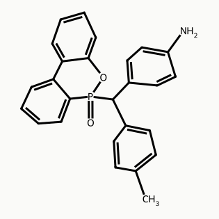 Cc1ccc(C(c2ccc(N)cc2)P2(=O)Oc3ccccc3-c3ccccc32)cc1